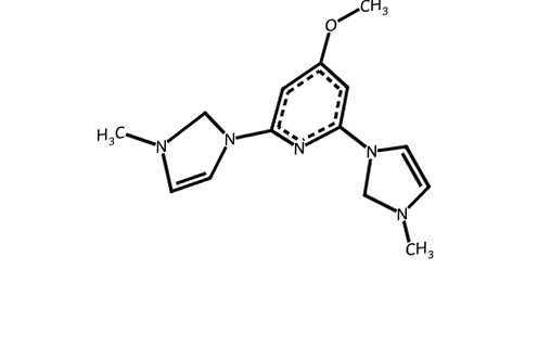 COc1cc(N2C=CN(C)C2)nc(N2C=CN(C)C2)c1